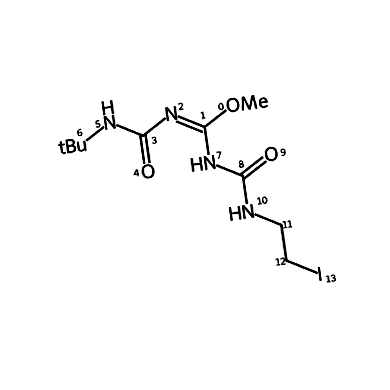 COC(=NC(=O)NC(C)(C)C)NC(=O)NCCI